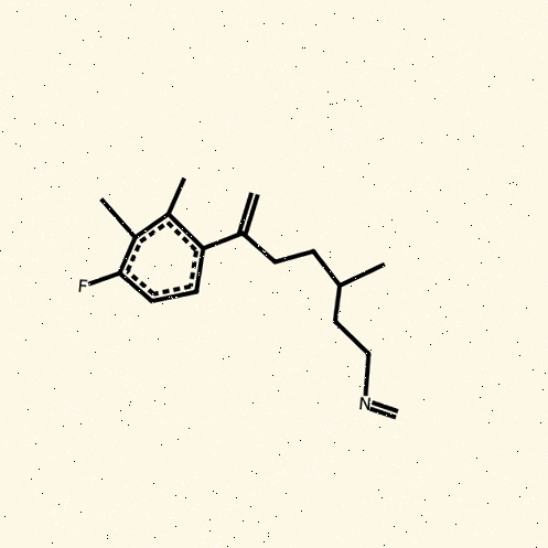 C=NCCC(C)CCC(=C)c1ccc(F)c(C)c1C